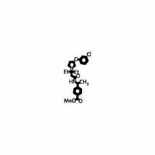 CCC(CC)(CC(=O)NC(C)c1ccc(C(=O)OC)cc1)N1CC[C@@H](Oc2cccc(Cl)c2)C1